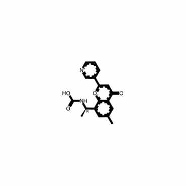 Cc1cc([C@@H](C)NC(=O)O)c2oc(-c3cccnc3)cc(=O)c2c1